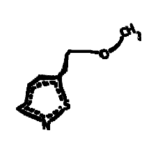 COCc1ccns1